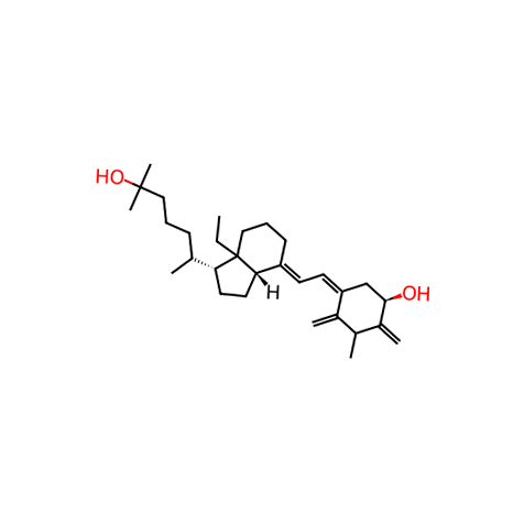 C=C1/C(=C\C=C2/CCCC3(CC)[C@@H](C(C)CCCC(C)(C)O)CC[C@@H]23)C[C@@H](O)C(=C)C1C